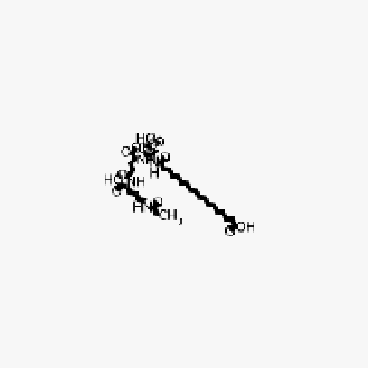 CCC(=O)NCCCCC(NC(=O)CCC(NC(=O)C(CS(=O)(=O)O)NC(=O)CCCCCCCCCCCCCCCCC(=O)O)C(=O)O)C(=O)O